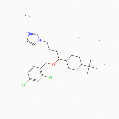 CC(C)(C)C1CCC(C(CCCn2ccnc2)OCc2ccc(Cl)cc2Cl)CC1